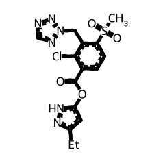 CCc1cc(OC(=O)c2ccc(S(C)(=O)=O)c(Cn3ncnn3)c2Cl)[nH]n1